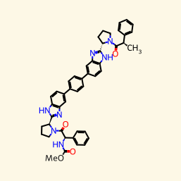 COC(=O)N[C@@H](C(=O)N1CCC[C@H]1c1nc2cc(-c3ccc(-c4ccc5[nH]c([C@@H]6CCCN6C(=O)[C@H](C)c6ccccc6)nc5c4)cc3)ccc2[nH]1)c1ccccc1